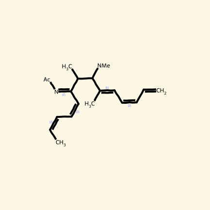 C=C/C=C\C=C(/C)C(NC)C(C)C(/C=C\C=C/C)=N\C(C)=O